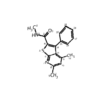 CNC(=O)c1sc2nc(C)cc(C)c2c1-c1ccccc1